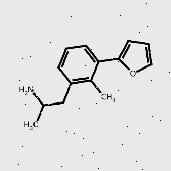 Cc1c(CC(C)N)cccc1-c1ccco1